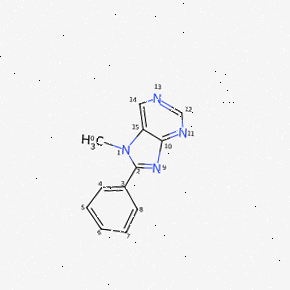 Cn1c(-c2ccccc2)nc2ncncc21